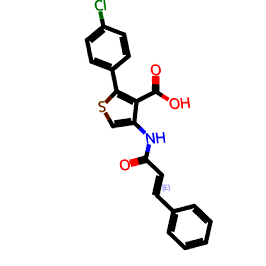 O=C(/C=C/c1ccccc1)Nc1csc(-c2ccc(Cl)cc2)c1C(=O)O